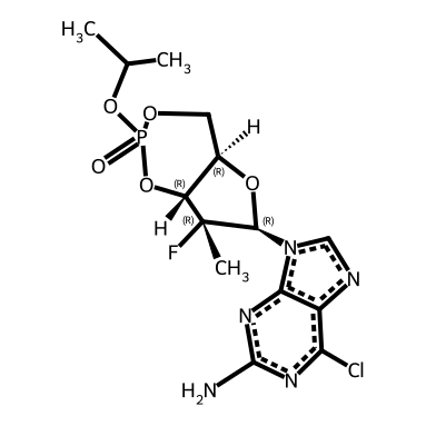 CC(C)OP1(=O)OC[C@H]2O[C@@H](n3cnc4c(Cl)nc(N)nc43)[C@](C)(F)[C@@H]2O1